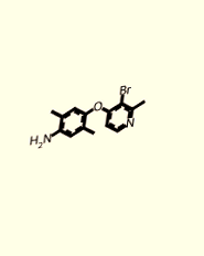 Cc1cc(Oc2ccnc(C)c2Br)c(C)cc1N